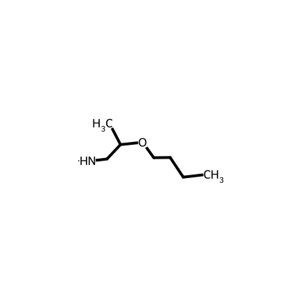 CCCCOC(C)C[NH]